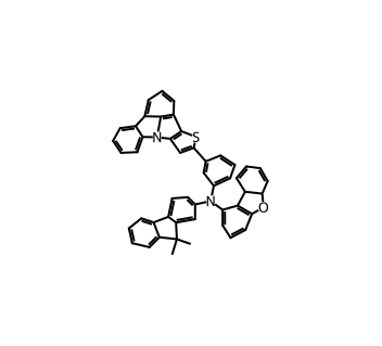 CC1(C)c2ccccc2-c2ccc(N(c3cccc(-c4cc5c(s4)c4cccc6c7ccccc7n5c64)c3)c3cccc4c3C3C=CC=CC3O4)cc21